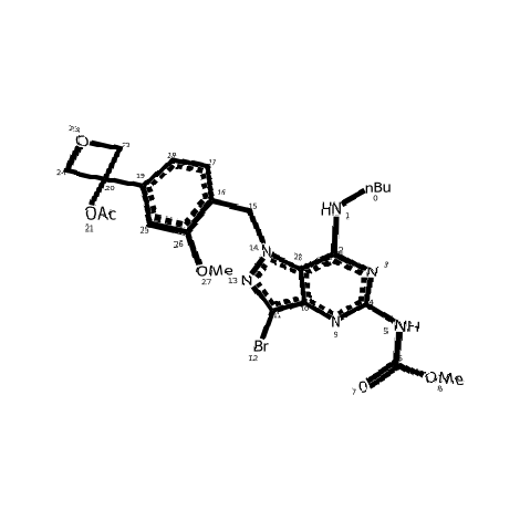 CCCCNc1nc(NC(=O)OC)nc2c(Br)nn(Cc3ccc(C4(OC(C)=O)COC4)cc3OC)c12